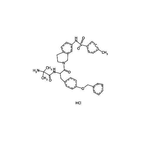 Cc1ccc(S(=O)(=O)Nc2ccc3c(c2)CN(C(=O)C(Cc2ccc(OCc4ccccc4)cc2)NC(=O)C(C)(C)N)CC3)cc1.Cl